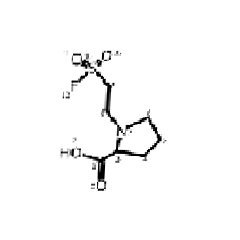 O=C(O)C1CCCN1CCS(=O)(=O)F